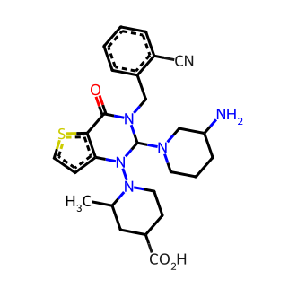 CC1CC(C(=O)O)CCN1N1c2ccsc2C(=O)N(Cc2ccccc2C#N)C1N1CCCC(N)C1